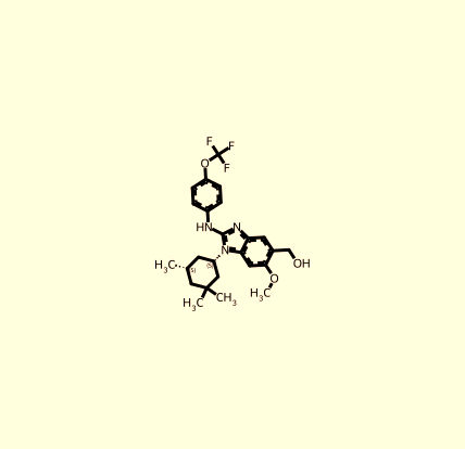 COc1cc2c(cc1CO)nc(Nc1ccc(OC(F)(F)F)cc1)n2[C@H]1C[C@@H](C)CC(C)(C)C1